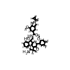 COc1cc(F)c(F)cc1-c1nc([C@@](O)(CNC(=O)c2cc(OC)c3nn(C4(F)CC4)cc3c2)c2ccccc2)cc2c1OC[C@]2(C)C(N)=O